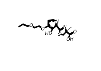 CCCOCCOc1ccnc(C2=N[C@@](C)(C(=O)O)CS2)c1O